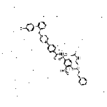 CC(C)NCC[C@H](CSc1ccccc1)Nc1ccc(S(=O)(=O)NC(=O)c2ccc(N3CCN(Cc4ccccc4-c4ccc(Cl)cc4)CC3)cc2)cc1[N+](=O)[O-]